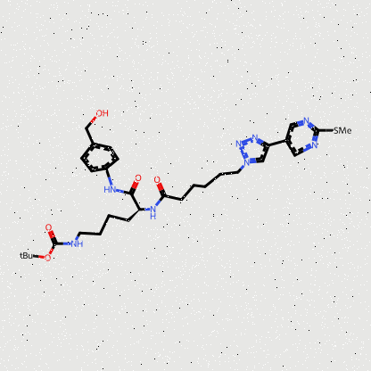 CSc1ncc(-c2cn(CCCCCC(=O)N[C@@H](CCCCNC(=O)OC(C)(C)C)C(=O)Nc3ccc(CO)cc3)nn2)cn1